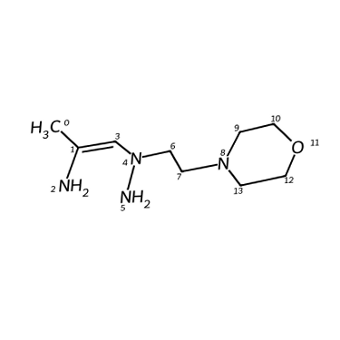 C/C(N)=C/N(N)CCN1CCOCC1